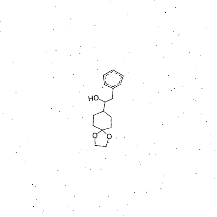 OC(Cc1ccccc1)C1CCC2(CC1)OCCO2